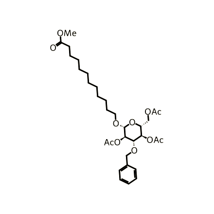 COC(=O)CCCCCCCCCCCO[C@@H]1O[C@H](COC(C)=O)[C@@H](OC(C)=O)[C@H](OCc2ccccc2)[C@H]1OC(C)=O